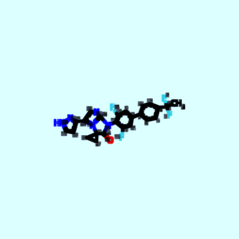 CC(F)(F)c1ccc(-c2cc(F)c(N3C(=O)C4(CC4)n4c(-c5cc[nH]n5)cnc43)c(F)c2)cc1